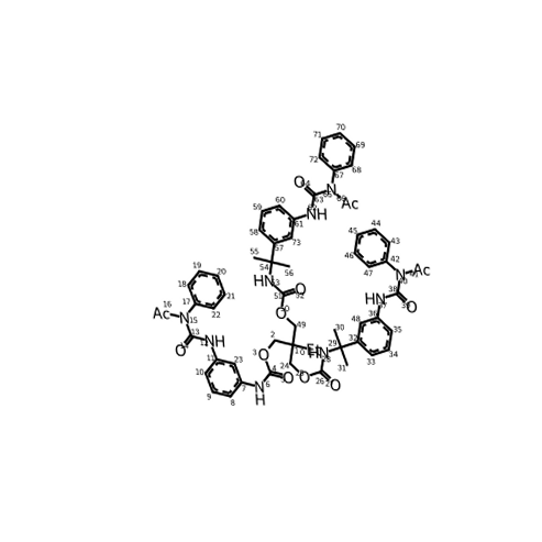 CCC(COC(=O)Nc1cccc(NC(=O)N(C(C)=O)c2ccccc2)c1)(COC(=O)NC(C)(C)c1cccc(NC(=O)N(C(C)=O)c2ccccc2)c1)COC(=O)NC(C)(C)c1cccc(NC(=O)N(C(C)=O)c2ccccc2)c1